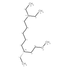 CC[C@H](CCCCCN(CC)CC)CCOC